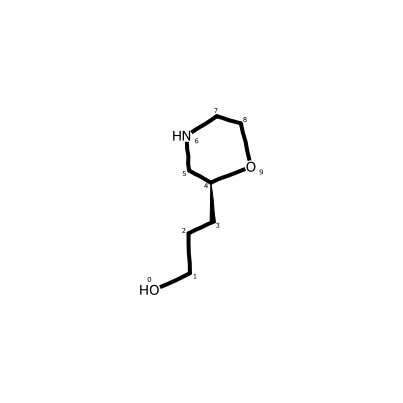 OCCC[C@H]1CNCCO1